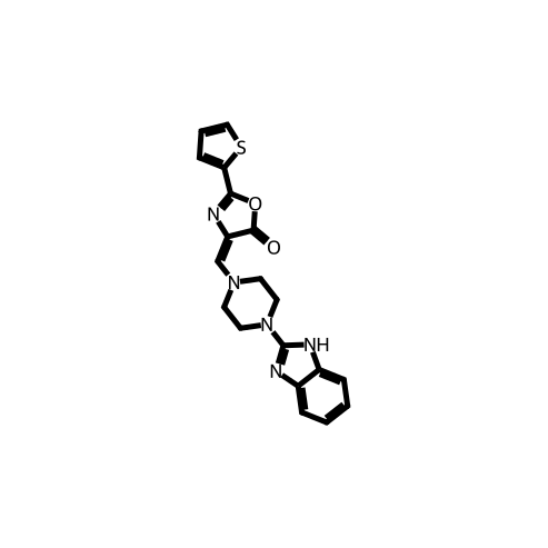 O=C1OC(c2cccs2)=NC1=CN1CCN(c2nc3ccccc3[nH]2)CC1